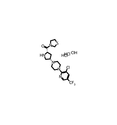 Cl.Cl.Cl.O=C([C@@H]1C[C@H](N2CCN(c3ncc(C(F)(F)F)cc3Cl)CC2)CN1)N1CCSC1